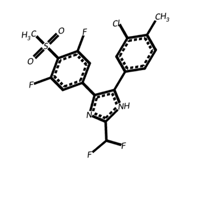 Cc1ccc(-c2[nH]c(C(F)F)nc2-c2cc(F)c(S(C)(=O)=O)c(F)c2)cc1Cl